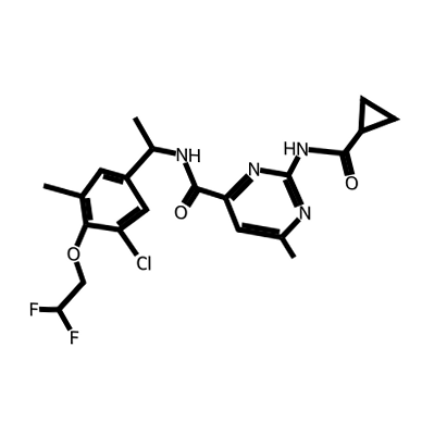 Cc1cc(C(=O)NC(C)c2cc(C)c(OCC(F)F)c(Cl)c2)nc(NC(=O)C2CC2)n1